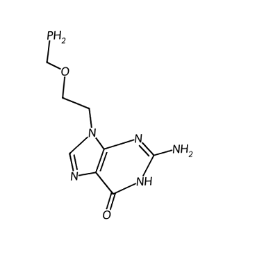 Nc1nc2c(ncn2CCOCP)c(=O)[nH]1